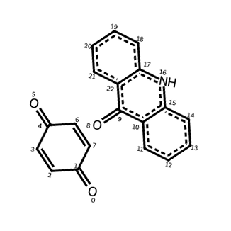 O=C1C=CC(=O)C=C1.O=c1c2ccccc2[nH]c2ccccc12